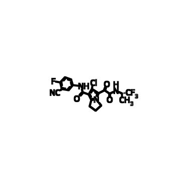 C[C@H](NC(=O)C(=O)c1c(Cl)c(C(=O)Nc2ccc(F)c(C#N)c2)c2n1CCC2)C(F)(F)F